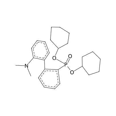 CN(C)c1ccccc1-c1ccccc1P(=O)(OC1CCCCC1)OC1CCCCC1